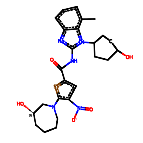 Cc1cccc2nc(NC(=O)c3cc([N+](=O)[O-])c(N4CCCC[C@H](O)C4)s3)n(C3CCC(O)CC3)c12